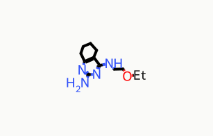 CCOCCNc1nc(N)nc2c1CCCC2